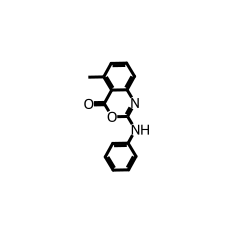 Cc1cccc2nc(Nc3ccccc3)oc(=O)c12